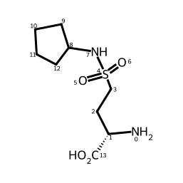 N[C@@H](CCS(=O)(=O)NC1CCCC1)C(=O)O